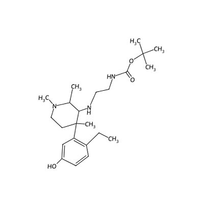 CCc1ccc(O)cc1C1(C)CCN(C)C(C)C1NCCNC(=O)OC(C)(C)C